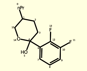 CCCC1CCC(O)(c2cccc(F)c2F)OC1